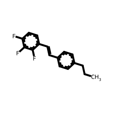 CCCc1ccc(C=Cc2ccc(F)c(F)c2F)cc1